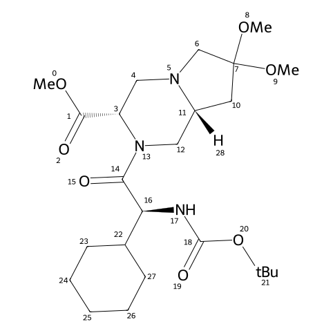 COC(=O)[C@@H]1CN2CC(OC)(OC)C[C@@H]2CN1C(=O)[C@@H](NC(=O)OC(C)(C)C)C1CCCCC1